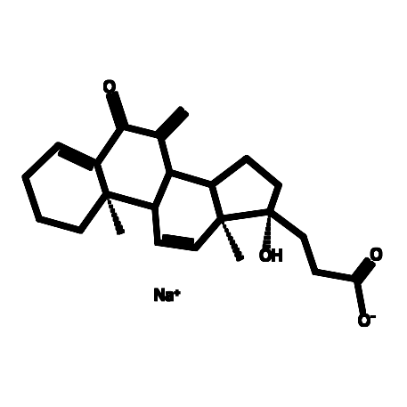 C=C1C(=O)C2=CCCC[C@]2(C)C2C=C[C@@]3(C)C(CC[C@@]3(O)CCC(=O)[O-])C12.[Na+]